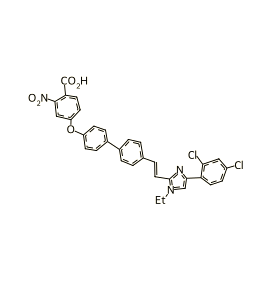 CCn1cc(-c2ccc(Cl)cc2Cl)nc1C=Cc1ccc(-c2ccc(Oc3ccc(C(=O)O)c([N+](=O)[O-])c3)cc2)cc1